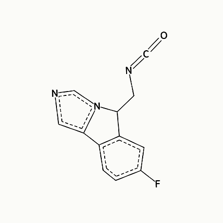 O=C=NCC1c2cc(F)ccc2-c2cncn21